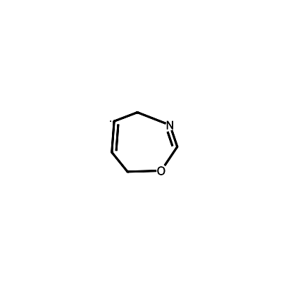 [C]1=CCOC=NC1